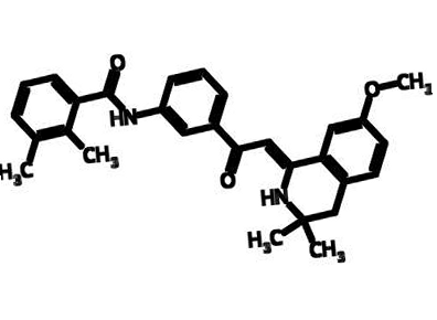 COc1ccc2c(c1)C(=CC(=O)c1cccc(NC(=O)c3cccc(C)c3C)c1)NC(C)(C)C2